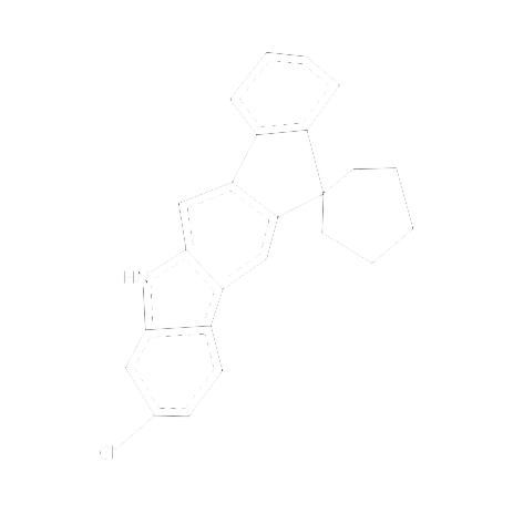 Clc1ccc2c(c1)[nH]c1cc3c(cc12)C1(CCCCC1)c1ccccc1-3